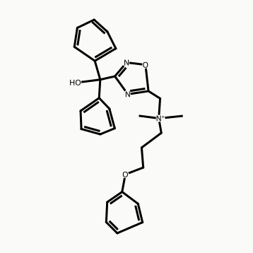 C[N+](C)(CCCOc1ccccc1)Cc1nc(C(O)(c2ccccc2)c2ccccc2)no1